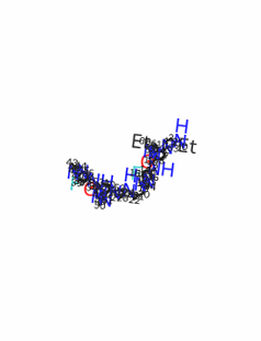 CCNC1CCN(c2ccc(C(=O)Nc3cc(F)c4nc(CC5CC5N[C@@H]5CCN(c6ccc(C(=O)Nc7cc(F)c8nc(C)cn8c7)n7nc(C)nc67)C5)cn4c3)n3nc(CC)cc23)C1